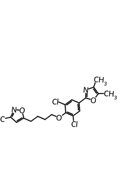 Cc1cc(CCCCOc2c(Cl)cc(-c3nc(C)c(C)o3)cc2Cl)on1